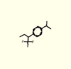 CCC(c1ccc(C(C)C)cc1)C(F)(F)F